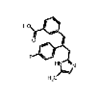 Cc1cnc(CC(=Cc2cccc(C(=O)O)c2)c2ccc(F)cc2)[nH]1